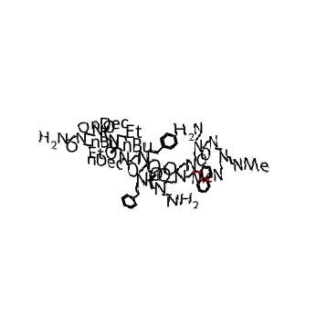 CCCCCCCCCCN(CC(=O)N(CC(=O)N(CCCCCCCCCC)CC(=O)N(CC(N)=O)CC(CC)CCCC)CC(CC)CCCC)C(=O)CN(CCc1ccccc1)C(=O)CN(CCc1ccccc1)C(=O)CN(CCN)C(=O)CN(CCc1ccccc1)C(=O)CN(CCc1ccccc1)C(=O)CN(CCN)C(=O)CN(C)CCN(CCNC)CCNC